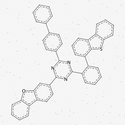 c1ccc(-c2ccc(-c3nc(-c4ccc5c(c4)oc4ccccc45)nc(-c4ccccc4-c4cccc5c4sc4ccccc45)n3)cc2)cc1